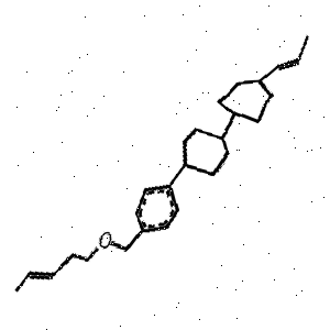 CC=CCCOCc1ccc(C2CCC(C3CCC(C=CC)CC3)CC2)cc1